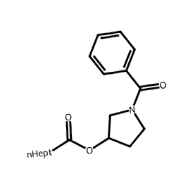 CCCCCCCC(=O)OC1CCN(C(=O)c2ccccc2)C1